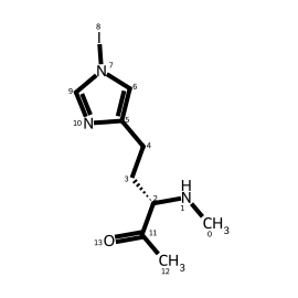 CN[C@@H](CCc1cn(I)cn1)C(C)=O